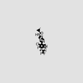 CC(C(F)F)N(C)c1c(F)c(Cl)c(-c2cn3cc(NC(=O)[C@@H]4C[C@@H]4C)nc3cn2)c2cn[nH]c12